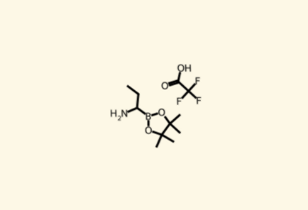 CCC(N)B1OC(C)(C)C(C)(C)O1.O=C(O)C(F)(F)F